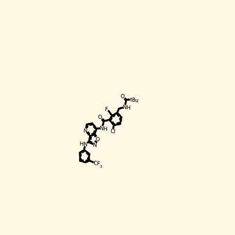 CC(C)(C)C(=O)NCc1ccc(Cl)c(C(=O)Nc2ccnc3c(Nc4cccc(C(F)(F)F)c4)noc23)c1F